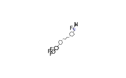 N#C/C(F)=C/[C@H]1CC[C@H](CCCC[C@H]2CC[C@H](c3ccc(OC(F)(F)F)cc3)CC2)CC1